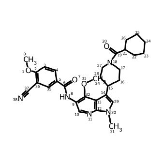 COc1ccc(C(=O)Nc2cnc3c(c(C4CCN(C(=O)C5CCCCC5)CC4)cn3C)c2OC)cc1C#N